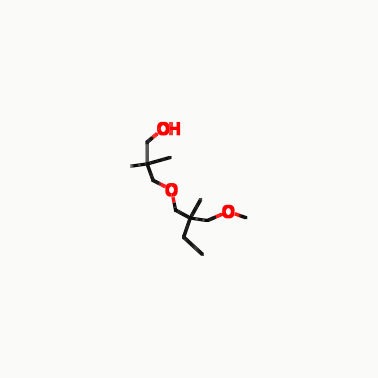 CCC(C)(COC)COCC(C)(C)CO